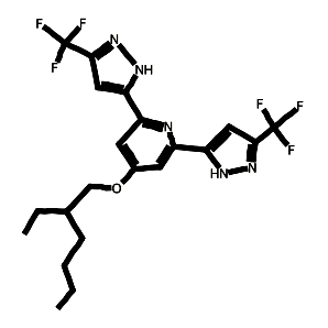 CCCCC(CC)COc1cc(-c2cc(C(F)(F)F)n[nH]2)nc(-c2cc(C(F)(F)F)n[nH]2)c1